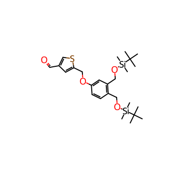 CC(C)(C)[Si](C)(C)OCc1ccc(OCc2cc(C=O)cs2)cc1CO[Si](C)(C)C(C)(C)C